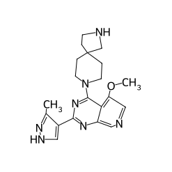 COc1cncc2nc(-c3c[nH]nc3C)nc(N3CCC4(CCNC4)CC3)c12